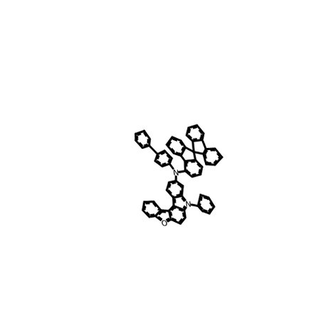 c1ccc(-c2ccc(N(c3ccc4c5c6c(ccc5n(-c5ccccc5)c4c3)oc3ccccc36)c3cccc4c3-c3ccccc3C43c4ccccc4-c4ccccc43)cc2)cc1